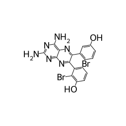 Nc1nc(N)c2nc(-c3cccc(O)c3)c(-c3c(Br)ccc(O)c3Br)nc2n1